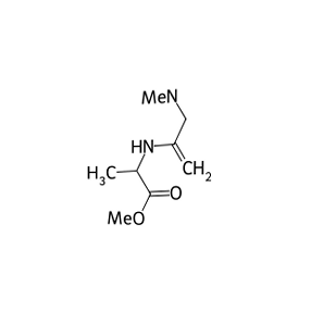 C=C(CNC)NC(C)C(=O)OC